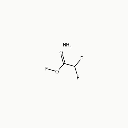 N.O=C(OF)C(F)F